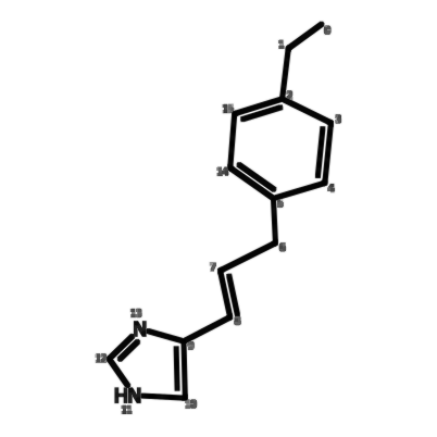 CCc1ccc(CC=Cc2c[nH]cn2)cc1